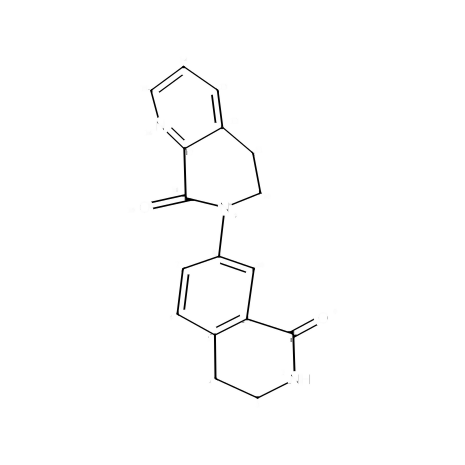 O=C1NCCc2ccc(N3CCc4cccnc4C3=O)cc21